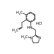 C=CCc1c(C)cccc1NCC1=NCCN1C.Cl